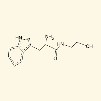 NC(Cc1c[nH]c2ccccc12)C(=O)NCCO